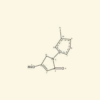 COC1=CC(=O)N(c2cccc(I)c2)C1